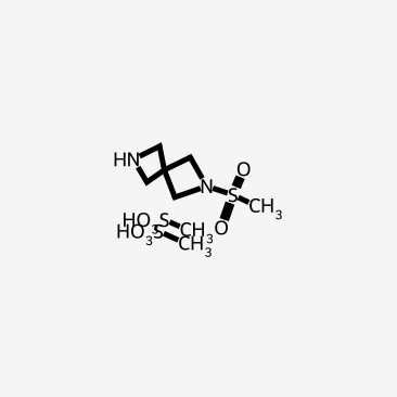 CS(=O)(=O)N1CC2(CNC2)C1.CS(=O)(=O)O.CS(=O)(=O)O